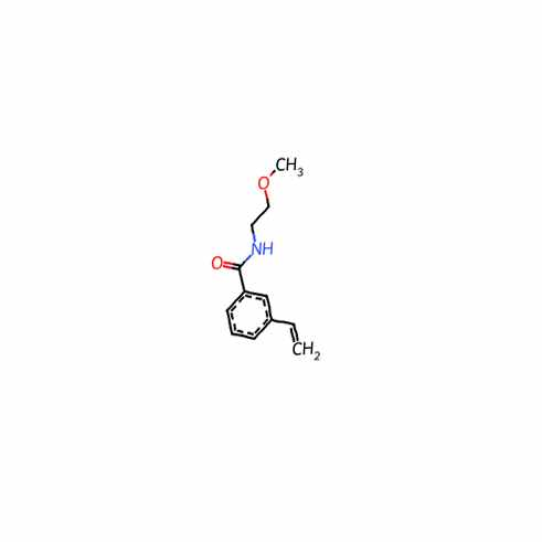 C=Cc1cccc(C(=O)NCCOC)c1